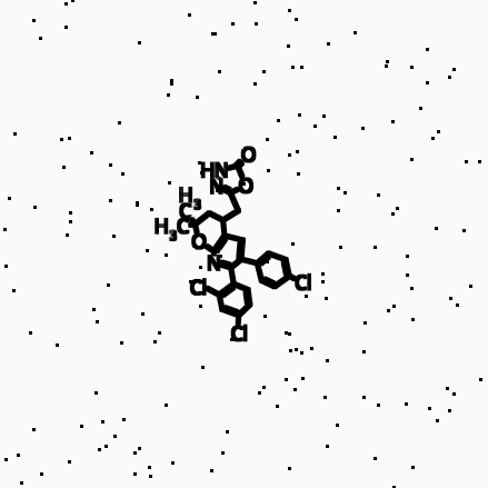 CC1(C)CC(Cc2n[nH]c(=O)o2)c2cc(-c3ccc(Cl)cc3)c(-c3ccc(Cl)cc3Cl)nc2O1